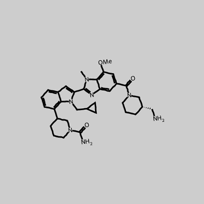 COc1cc(C(=O)N2CCC[C@@H](CN)C2)cc2nc(-c3cc4cccc(C5CCCN(C(N)=O)C5)c4n3CC3CC3)n(C)c12